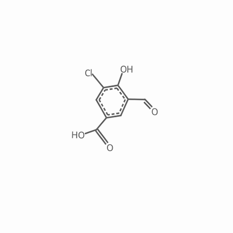 O=Cc1cc(C(=O)O)cc(Cl)c1O